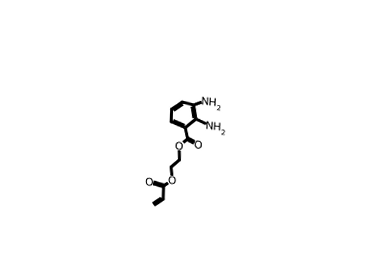 C=CC(=O)OCCOC(=O)c1cccc(N)c1N